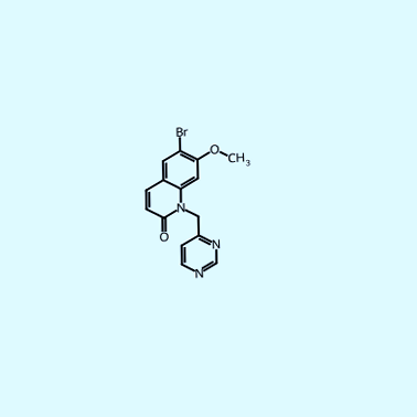 COc1cc2c(ccc(=O)n2Cc2ccncn2)cc1Br